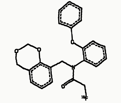 O=C(C[18F])N(Cc1cccc2c1OCOC2)c1ccccc1Oc1ccccc1